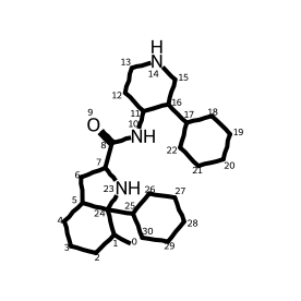 CC1CCCC2CC(C(=O)NC3CCNCC3C3CCCCC3)NC12C1CCCCC1